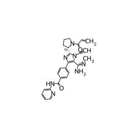 C#Cn1c([C@@H]2CCCN2C(=O)C=C)nc(-c2ccc(C(=O)Nc3ccccn3)cc2)c1/C(N)=N\C